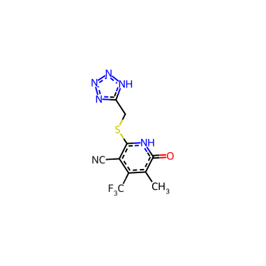 Cc1c(C(F)(F)F)c(C#N)c(SCc2nnn[nH]2)[nH]c1=O